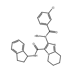 CCCCN(C(=O)c1cccc(Cl)c1)c1nc2n(c1C(=O)NC1CCc3ccccc31)CCCC2